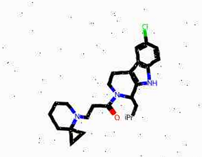 CC(C)CC1c2[nH]c3ccc(Cl)cc3c2CCN1C(=O)CCN1CCCCC12CC2